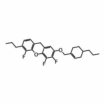 CCCc1ccc2c(c1F)Oc1c(cc(OCC3=CCC(CCC)CC3)c(F)c1F)C2